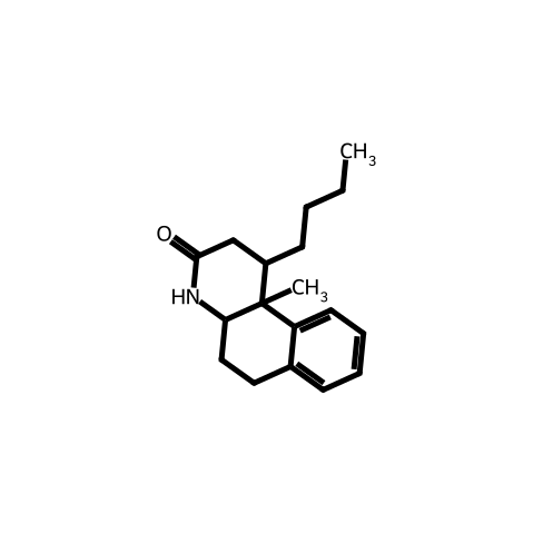 CCCCC1CC(=O)NC2CCc3ccccc3C12C